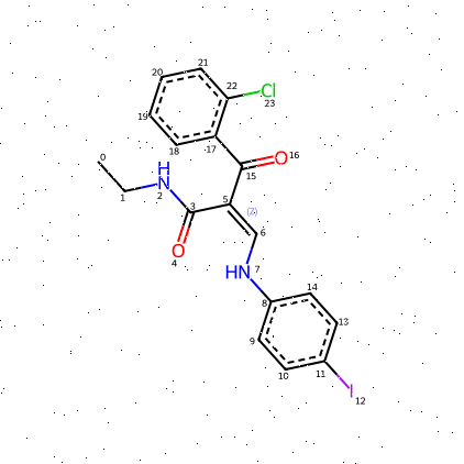 CCNC(=O)/C(=C\Nc1ccc(I)cc1)C(=O)c1ccccc1Cl